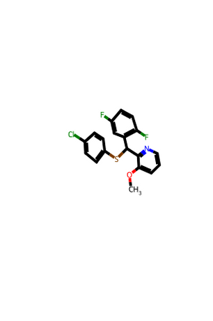 COc1cccnc1C(Sc1ccc(Cl)cc1)c1cc(F)ccc1F